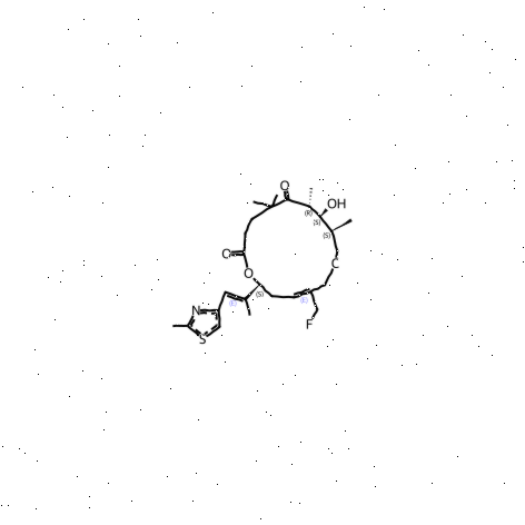 C/C(=C\c1csc(C)n1)[C@@H]1C/C=C(/CF)CCC[C@H](C)[C@H](O)[C@@H](C)C(=O)C(C)(C)CCC(=O)O1